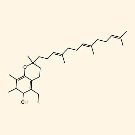 CCC1=C2CCC(C)(CC/C=C(\C)CC/C=C(\C)CCC=C(C)C)OC2=C(C)C(C)C1O